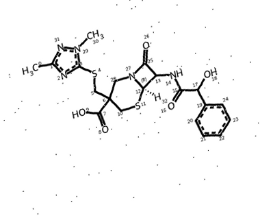 Cc1nc(SCC2(C(=O)O)CS[C@@H]3C(NC(=O)C(O)c4ccccc4)C(=O)N3C2)n(C)n1